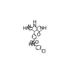 O=C1CNCC2=C1C(c1ccc(S(=O)(=O)Nc3ccc(Cl)cc3)cc1)c1c[nH]nc1N2